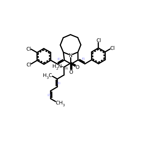 C/C=C\C=C(/C)C[C@H](N)C(=O)N1C2CCCCCC1/C(=C\c1ccc(Cl)c(Cl)c1)C(=O)/C2=C/c1ccc(Cl)c(Cl)c1